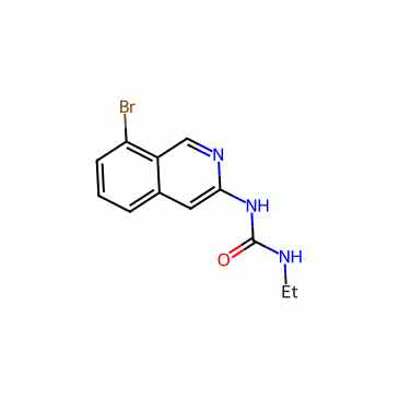 CCNC(=O)Nc1cc2cccc(Br)c2cn1